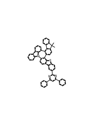 CC1(C)c2ccccc2-c2c1ccc1c2-c2cccc3c4ccccc4n(c23)-c2ccc3c(sc4ccc(-c5nc(-c6ccccc6)cc(-c6ccccc6)n5)cc43)c2-1